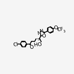 O=C(CCC[C@@H](CO)c1nnc(-c2ccc(OC(F)(F)F)cc2)o1)c1ccc(Cl)cc1